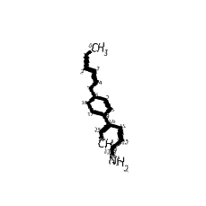 C/C=C\C=C/CC1C=CC(C(/C=C\CN)=C/C)=CC1